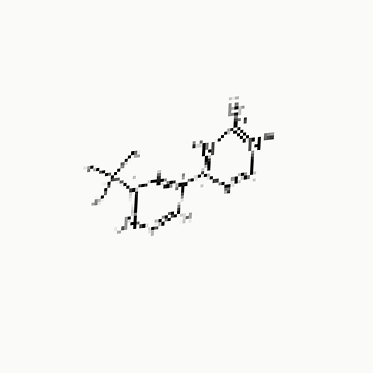 CC(C)(C)c1cc(-c2ccnc(Br)n2)ccn1